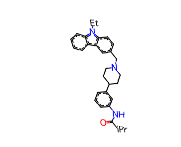 CCn1c2ccccc2c2cc(CN3CCC(c4cccc(NC(=O)C(C)C)c4)CC3)ccc21